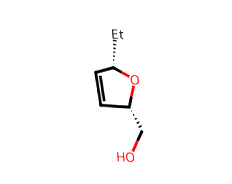 CC[C@H]1C=C[C@@H](CO)O1